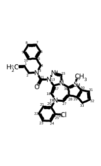 C=CCN(Cc1ccccc1)C(=O)N1N=CN2C1=CN(c1ccccc1Cl)C=C1C3=C(C=CC3)S(C)=C12